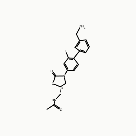 CC(=O)NC[C@H]1CN(c2ccc(-c3cccc(CN)c3)c(F)c2)C(=O)O1